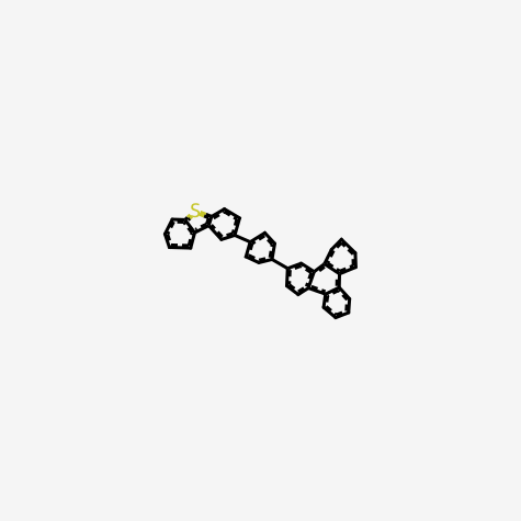 c1ccc2c(c1)sc1ccc(-c3ccc(-c4ccc5c6ccccc6c6ccccc6c5c4)cc3)cc12